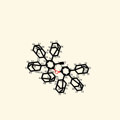 [C]#Cc1c(Oc2ccc(C34CC5CC(CC(C5)C3)C4)c(C34CC5CC(CC(C5)C3)C4)c2C23CC4CC(CC(C4)C2)C3)c(C23CC4CC(CC(C4)C2)C3)c(C23CC4CC(CC(C4)C2)C3)c(C23CC4CC(CC(C4)C2)C3)c1C12CC3CC(CC(C3)C1)C2